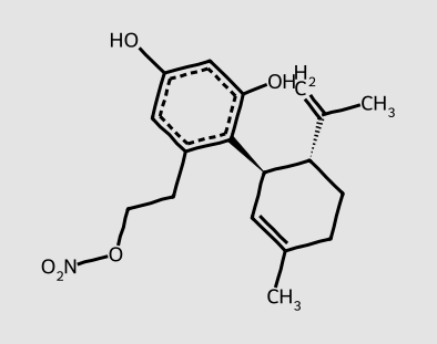 C=C(C)[C@@H]1CCC(C)=C[C@H]1c1c(O)cc(O)cc1CCO[N+](=O)[O-]